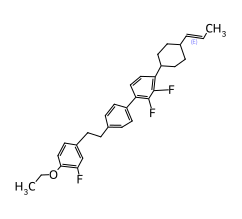 C/C=C/C1CCC(c2ccc(-c3ccc(CCc4ccc(OCC)c(F)c4)cc3)c(F)c2F)CC1